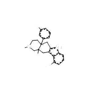 CN1CCC2(c3cccc(O)c3)Cc3[nH]c4cccc(F)c4c3CC2(O)C1